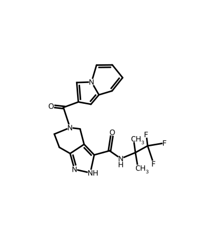 CC(C)(NC(=O)c1[nH]nc2c1CN(C(=O)c1cc3ccccn3c1)CC2)C(F)(F)F